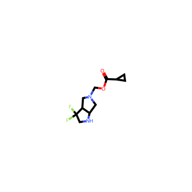 O=C(OCN1CC2NCC(F)(F)C2C1)C1CC1